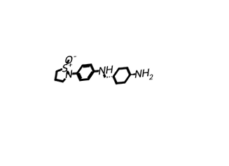 N[C@H]1CC[C@H](CNc2ccc(N3CCC[S+]3[O-])cc2)CC1